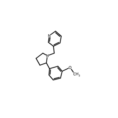 COc1cccc(C2CCCN2Cc2cccnc2)c1